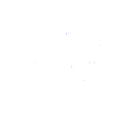 CCC(C)CCn1c(=O)[nH]c(=O)c2cnc3c(OC)cc(Cl)cc3c21